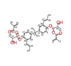 C=C(C)C(=O)OC(Oc1ccc(C(C)(C)c2ccc(OC(OC(=O)C(=C)C)C(C)O)c(C=CC)c2)cc1C=CC)C(C)O